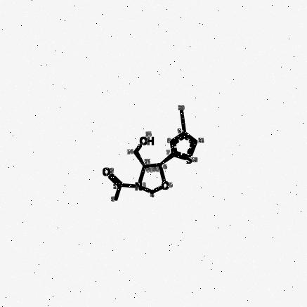 CC(=O)N1CO[C@H](c2cc(C)cs2)[C@@H]1CO